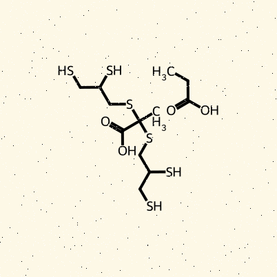 CC(SCC(S)CS)(SCC(S)CS)C(=O)O.CCC(=O)O